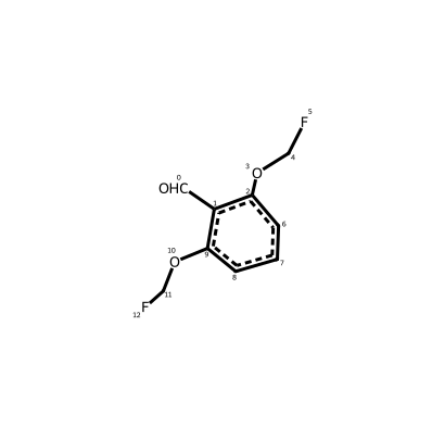 O=Cc1c(OCF)cccc1OCF